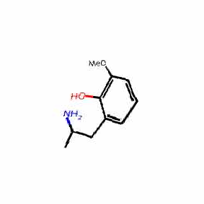 COc1cccc(CC(C)N)c1O